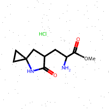 COC(=O)C(N)CC1CC2(CC2)NC1=O.Cl